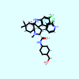 CN1[C@@H](C(=O)NC2CCC(CO)CC2)[C@H](c2ccnc(Cl)c2F)[C@]2(C(=O)Nc3cc(Cl)ccc32)C12CCC(C)(C)CC2